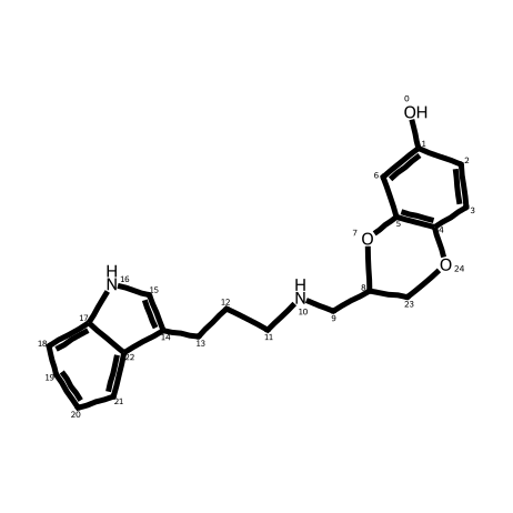 Oc1ccc2c(c1)OC(CNCCCc1c[nH]c3ccccc13)CO2